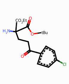 CCOC(=O)C(N)(CCC(=O)c1ccc(Cl)cc1)C(=O)OC(C)(C)C